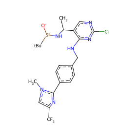 CC(N[S+]([O-])C(C)(C)C)c1cnc(Cl)nc1NCc1ccc(-c2nc(C(F)(F)F)cn2C)cc1